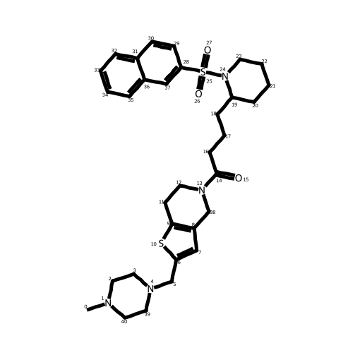 CN1CCN(Cc2cc3c(s2)CCN(C(=O)CCCC2CCCCN2S(=O)(=O)c2ccc4ccccc4c2)C3)CC1